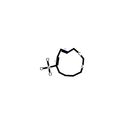 Cl[Si](Cl)(Cl)/C1=C/C=C/CCCCCCCC1